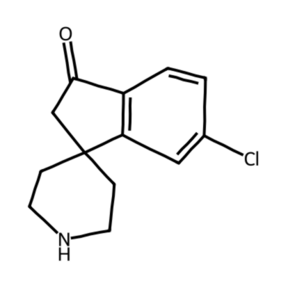 O=C1CC2(CCNCC2)c2cc(Cl)ccc21